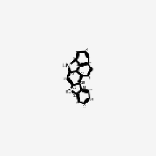 C1=Cc2cccc3c2C2C1=c1c(sc4ccccc14)=CC2N3